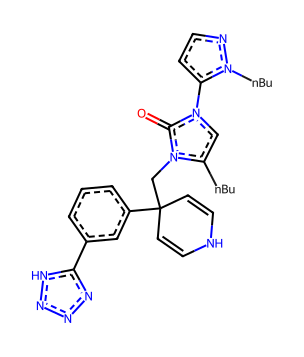 CCCCc1cn(-c2ccnn2CCCC)c(=O)n1CC1(c2cccc(-c3nnn[nH]3)c2)C=CNC=C1